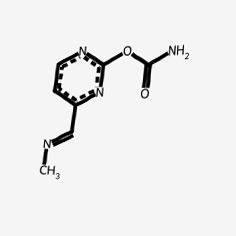 CN=Cc1ccnc(OC(N)=O)n1